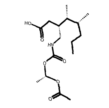 CCC[C@@H](C)[C@@H](C)[C@H](CNC(=O)O[C@@H](C)OC(C)=O)CC(=O)O